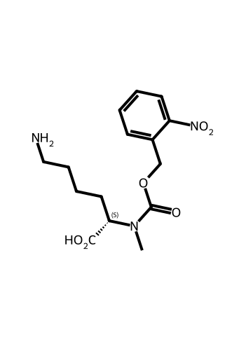 CN(C(=O)OCc1ccccc1[N+](=O)[O-])[C@@H](CCCCN)C(=O)O